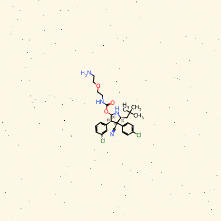 CC(C)(C)C[C@@H]1N[C@H](OC(=O)NCCOCCN)[C@H](c2cccc(Cl)c2)[C@@]1(C#N)c1ccc(Cl)cc1